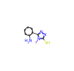 Nc1ccccc1-c1nnc(S)n1I